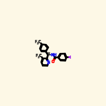 O=C(N[C@@H](c1ccc(C(F)(F)F)cc1)c1ncccc1C(F)(F)F)c1ccc(I)cc1